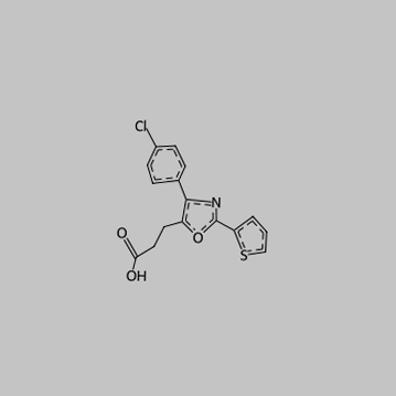 O=C(O)CCc1oc(-c2cccs2)nc1-c1ccc(Cl)cc1